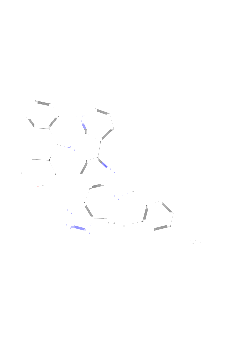 COc1ccc(CNc2nc3c4cccnc4n([C@H](c4ccccc4)C4CCOCC4)c3cc2-c2c(C)nnn2C)c(OC)c1